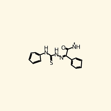 CNC(=O)/C(=N\NC(=S)Nc1ccccc1)c1ccccc1